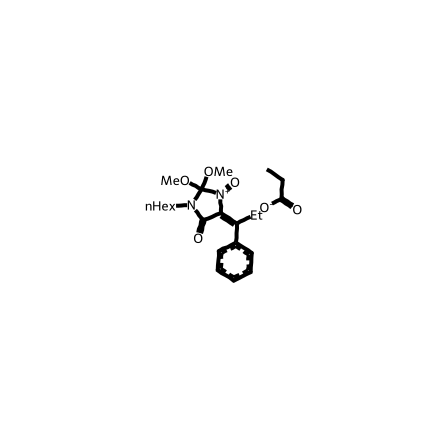 CCC(=O)[O-].CCCCCCN1C(=O)C(=C(CC)c2ccccc2)[N+](=O)C1(OC)OC